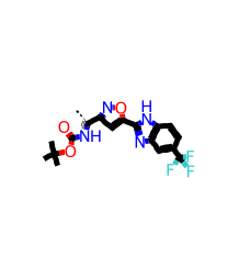 C[C@@H](NC(=O)OC(C)(C)C)c1cc(-c2nc3cc(C(F)(F)F)ccc3[nH]2)on1